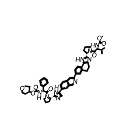 COC(=O)N[C@H](C(=O)N1CCC[C@H]1c1nc2c([nH]1)-c1ccc(-c3cc4ccc(-c5cnc([C@@H]6CCCN6C(=O)[C@H](NC(=O)OC6CCOCC6)c6ccccc6)[nH]5)cc4cn3)cc1CC2)C(C)C